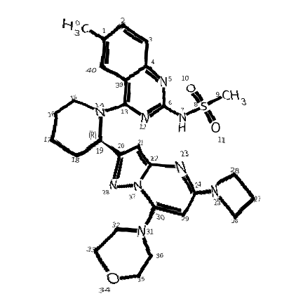 Cc1ccc2nc(NS(C)(=O)=O)nc(N3CCCC[C@@H]3c3cc4nc(N5CCC5)cc(N5CCOCC5)n4n3)c2c1